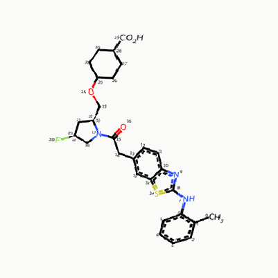 Cc1ccccc1Nc1nc2ccc(CC(=O)N3C[C@@H](F)C[C@H]3COC3CCC(C(=O)O)CC3)cc2s1